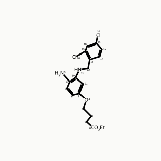 CCOC(=O)CCCOc1ccc(N)c(NCc2ccc(Cl)cc2Cl)c1